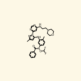 Cc1cc(Nc2cc(N(OC(F)F)C(=O)c3ccccc3)ccc2C)n(-c2cc(NCCN3CCOCC3)ncn2)n1